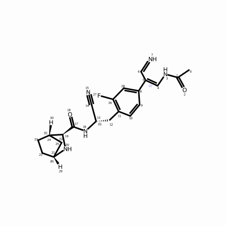 CC(=O)N/C=C(\C=N)c1ccc(C[C@@H](C#N)NC(=O)[C@H]2N[C@@H]3CC[C@H]2C3)c(F)c1